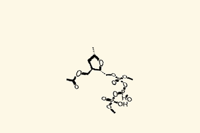 COP(=O)(O)O[PH](=O)OP(=O)(OC)OC[C@H]1O[C@@H](C)C[C@@H]1COC(C)=O